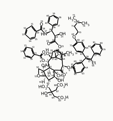 CC(=O)O[C@H]1C(=O)[C@@]2(C)[C@H]([C@H](OC(=O)c3ccccc3)[C@]3(O)C[C@H](OC(=O)[C@H](O)[C@@H](NC(=O)c4ccccc4)c4ccccc4)C(C)=C1C3(C)C)[C@]1(OC(C)=O)CO[C@@H]1C[C@@H]2O.CC/C(=C(\c1ccccc1)c1ccc(OCCN(C)C)cc1)c1ccccc1.O=C(O)CC(O)(CC(=O)O)C(=O)O